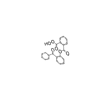 O=C(c1ccccc1)c1ccccc1OC(=O)c1ccccc1C(=O)OO